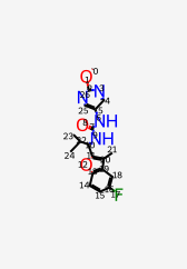 COc1ncc(NC(=O)NC(c2oc3ccc(F)cc3c2C)C(C)C)cn1